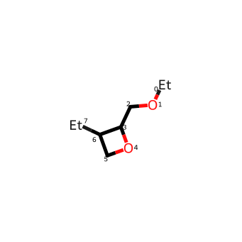 CCOCC1OCC1CC